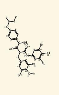 CCC(C)Oc1ccc(C(N)C(=O)C(Cc2cc(Br)c(OC)c(Br)c2)C(=O)Nc2cc(Br)c(O)c(Br)c2)cc1